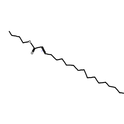 CCCCCCCCCCCCCCC/C=C/C(=O)OCCCC